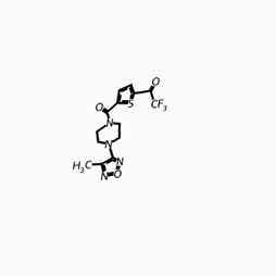 Cc1nonc1N1CCN(C(=O)c2ccc(C(=O)C(F)(F)F)s2)CC1